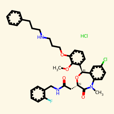 COc1c(OCCCNCCCc2ccccc2)cccc1[C@@H]1O[C@@H](CC(=O)NCc2ccccc2F)C(=O)N(C)c2ccc(Cl)cc21.Cl